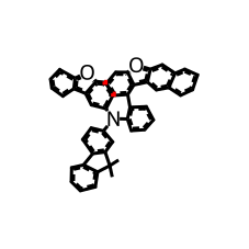 CC1(C)c2ccccc2-c2ccc(N(c3ccc4oc5ccccc5c4c3)c3ccccc3-c3cccc4oc5cc6ccccc6cc5c34)cc21